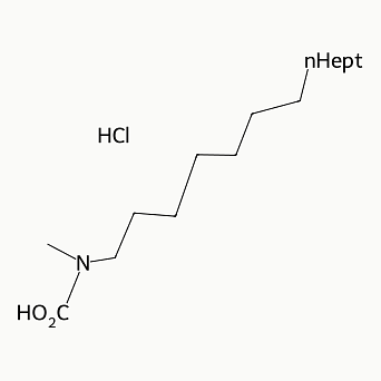 CCCCCCCCCCCCCCN(C)C(=O)O.Cl